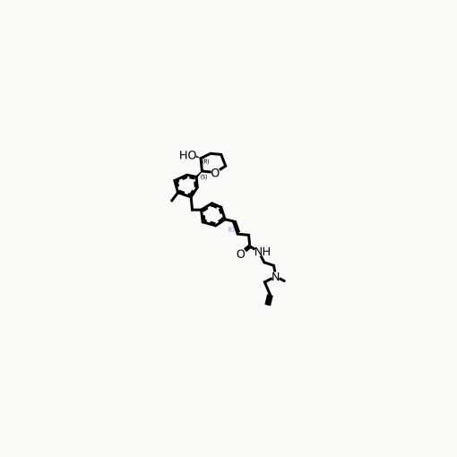 C#CCN(C)CCNC(=O)C/C=C/c1ccc(Cc2cc([C@@H]3OCCC[C@H]3O)ccc2C)cc1